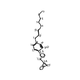 CCCCCCCCc1ccc(OCC2CO2)cc1